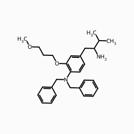 COCCCOc1cc(CC(N)C(C)C)ccc1N(Cc1ccccc1)Cc1ccccc1